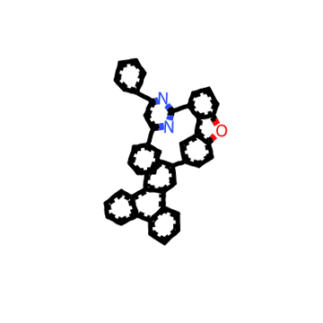 c1ccc(-c2cc(-c3ccccc3)nc(-c3cccc4oc5ccc(-c6ccc7c8ccccc8c8ccccc8c7c6)cc5c34)n2)cc1